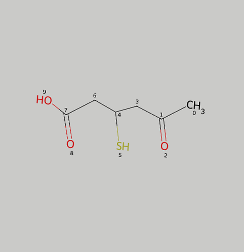 CC(=O)CC(S)CC(=O)O